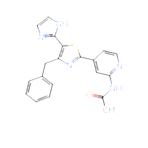 CC(=O)Nc1cc(-c2nc(Cc3ccccc3)c(-c3ncc[nH]3)s2)ccn1